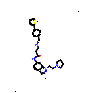 O=C(CCNCc1ccc(-c2cccs2)cc1)Nc1ccc2cnn(CCN3CCCC3)c2c1